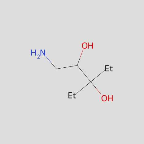 CCC(O)(CC)C(O)CN